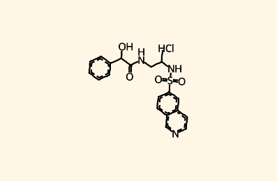 CC(CNC(=O)C(O)c1ccccc1)NS(=O)(=O)c1ccc2cnccc2c1.Cl